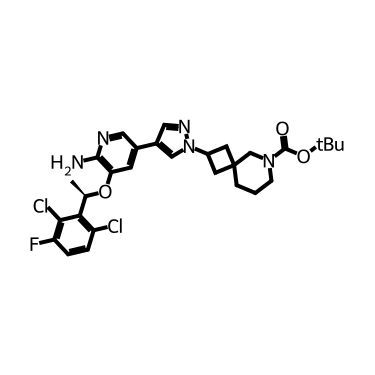 C[C@@H](Oc1cc(-c2cnn(C3CC4(CCCN(C(=O)OC(C)(C)C)C4)C3)c2)cnc1N)c1c(Cl)ccc(F)c1Cl